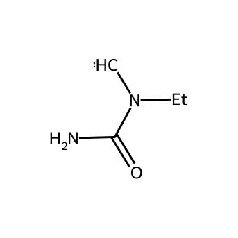 [CH]N(CC)C(N)=O